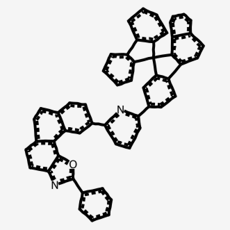 c1ccc(-c2nc3ccc4ccc5ccc(-c6cccc(-c7ccc8c(c7)C7(c9ccccc9-c9ccccc97)c7c-8ccc8ccccc78)n6)cc5c4c3o2)cc1